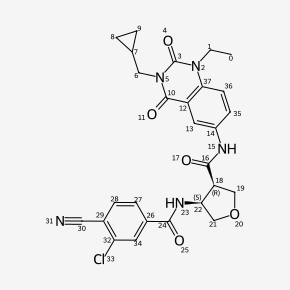 CCn1c(=O)n(CC2CC2)c(=O)c2cc(NC(=O)[C@H]3COC[C@H]3NC(=O)c3ccc(C#N)c(Cl)c3)ccc21